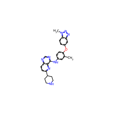 Cc1cc(Nc2ncnc3ccc(C4CCNCC4)nc23)ccc1Oc1ccc2c(c1)nnn2C